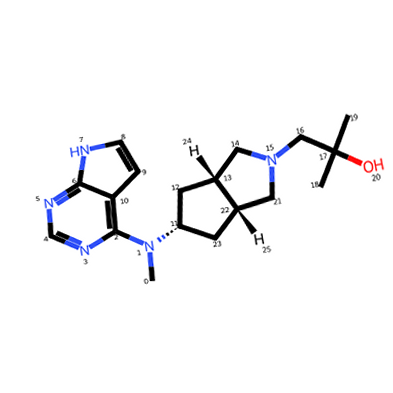 CN(c1ncnc2[nH]ccc12)[C@@H]1C[C@@H]2CN(CC(C)(C)O)C[C@@H]2C1